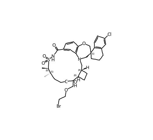 C[C@@H]1[C@@H](C)CCCC(O)(COCCBr)[C@@H]2CC[C@H]2CN2C[C@@]3(CCCc4cc(Cl)ccc43)COc3ccc(cc32)C(=O)NS1(=O)=O